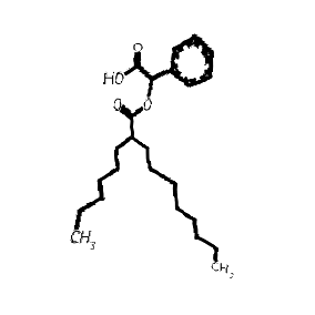 CCCCCCCCC(CCCCCC)C(=O)OC(C(=O)O)c1ccccc1